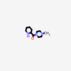 CN1CCN(C(=O)C2CCCCN2)CC1